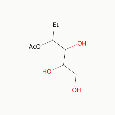 CCC(OC(C)=O)C(O)C(O)CO